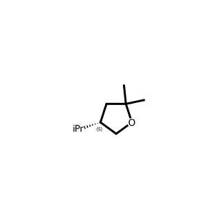 CC(C)[C@H]1COC(C)(C)C1